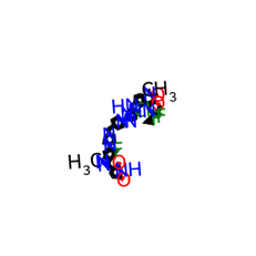 Cn1nc(C2CCC(=O)NC2=O)c2cc(F)c(N3CCN(CC4CCN(c5ncc(Cl)c(Nc6ccc7c(c6)c6c(c(=O)n7C)OCC(F)(F)[C@H](C7CC7)N6)n5)CC4)CC3)cc21